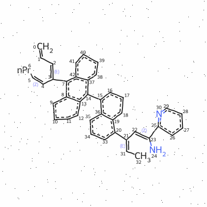 C=C/C=C(\C=C/CCC)c1c2ccccc2c(-c2cccc3c(C(/C=C(\N)c4ccccn4)=C/C)cccc23)c2ccccc12